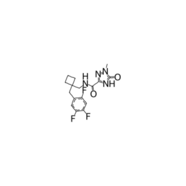 Cn1nc(C(=O)NCC2(Cc3cc(F)c(F)cc3F)CCC2)[nH]c1=O